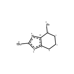 CC(C)C1CCCc2sc(C(C)(C)C)nc21